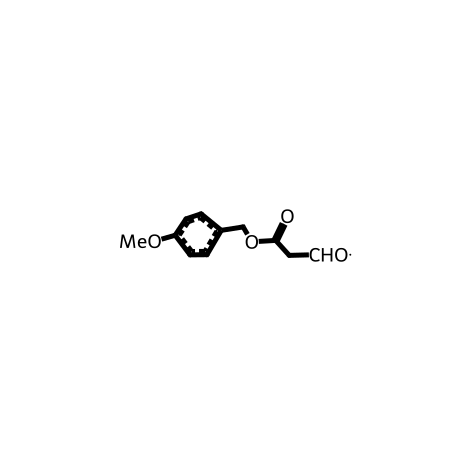 COc1ccc(COC(=O)C[C]=O)cc1